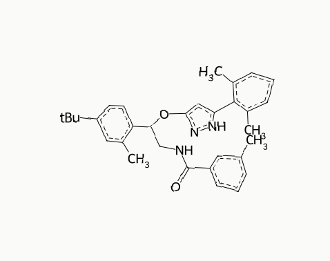 Cc1cccc(C(=O)NCC(Oc2cc(-c3c(C)cccc3C)[nH]n2)c2ccc(C(C)(C)C)cc2C)c1